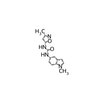 Cc1cc(NC(=O)Nc2ccc3c(ccn3C)c2)on1